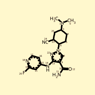 CN(C)C1CCC(n2cc(C(N)=O)c(Nc3ccnc(F)c3)n2)C(C#N)C1